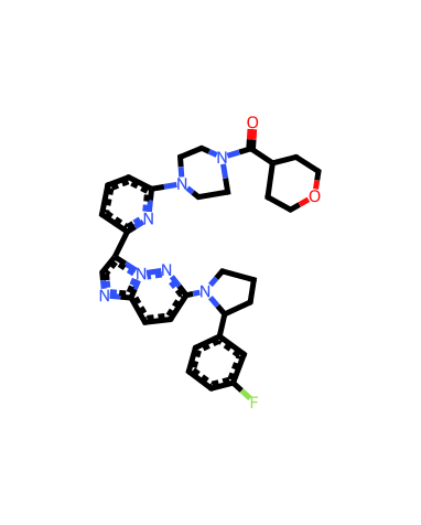 O=C(C1CCOCC1)N1CCN(c2cccc(-c3cnc4ccc(N5CCCC5c5cccc(F)c5)nn34)n2)CC1